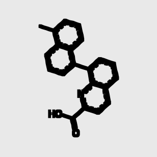 Cc1cccc2c(-c3cccc4ccc(C(=O)O)nc34)cccc12